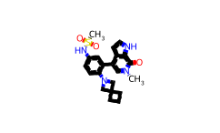 Cn1cc(-c2cc(NS(C)(=O)=O)ccc2N2CC3(CCC3)C2)c2cc[nH]c2c1=O